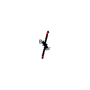 CCCCCCCCCCCCc1c(Br)sc2cc3c(CCCCCCCCCCCC)c(Br)sc3cc12